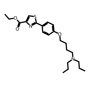 CCCN(CCC)CCCCOc1ccc(-c2nc(C(=O)OCC)cs2)cc1